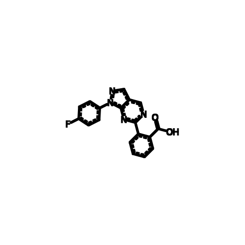 O=C(O)c1ccccc1-c1ncc2cnn(-c3ccc(F)cc3)c2n1